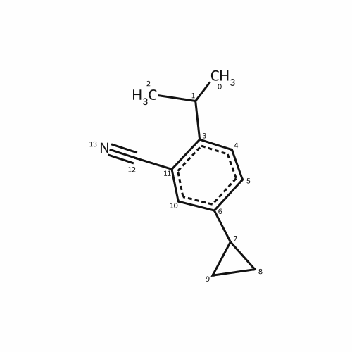 CC(C)c1ccc(C2CC2)cc1C#N